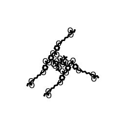 C=CC(=O)OCCCCCCOc1ccc(C(=O)Oc2ccc(OC(=O)c3ccc(OCCCCCCOC(=O)C=C)cc3)c(C(=O)OC(C(=O)OC(C)C)C(OC(=O)c3cc(OC(=O)c4ccc(OCCCCCCOC(=O)C=C)cc4)ccc3OC(=O)c3ccc(OCCCCCCOC(=O)C=C)cc3)C(=O)OC(C)C)c2)cc1